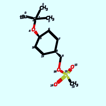 CC(C)(C)[Si](C)(C)O[C@H]1CC[C@H](COS(C)(=O)=O)CC1